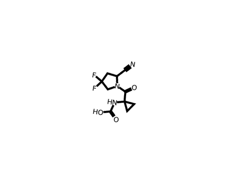 N#CC1CC(F)(F)CN1C(=O)C1(NC(=O)O)CC1